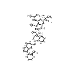 COc1c(NC(C)=O)cc(C(C)(C)C)cc1NC(=O)N[C@@]1(C=O)C=C[C@@H](Oc2ccc3nnc([C@@H]4CCCCN4C)n3c2)c2ccccc21